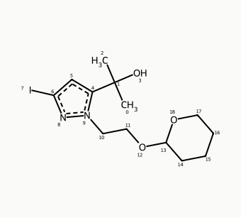 CC(C)(O)c1cc(I)nn1CCOC1CCCCO1